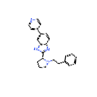 c1ccc(CCN2CCC[C@H]2c2nc3ccc(-c4ccncc4)cc3[nH]2)cc1